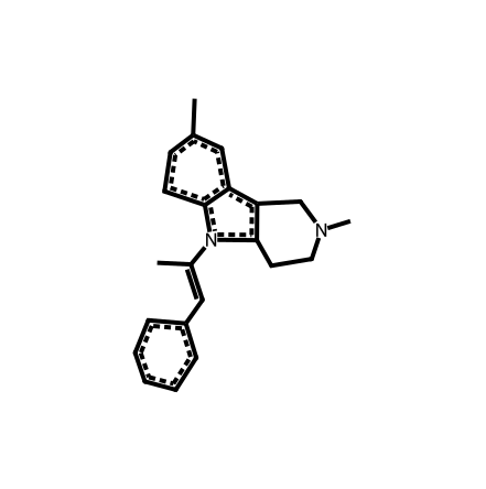 CC(=Cc1ccccc1)n1c2c(c3cc(C)ccc31)CN(C)CC2